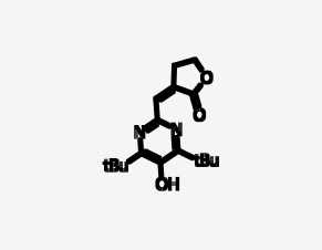 CC(C)(C)c1nc(C=C2CCOC2=O)nc(C(C)(C)C)c1O